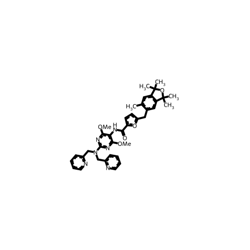 COc1nc(N(Cc2ccccn2)Cc2ccccn2)nc(OC)c1NC(=O)c1ccc(Cc2cc3c(cc2C)C(C)(C)OC3(C)C)o1